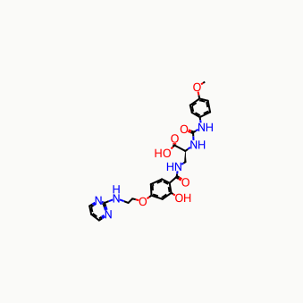 COc1ccc(NC(=O)N[C@@H](CNC(=O)c2ccc(OCCNc3ncccn3)cc2O)C(=O)O)cc1